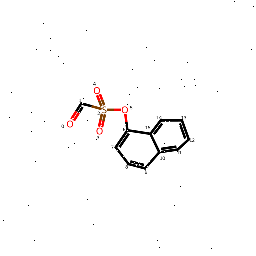 O=CS(=O)(=O)Oc1cccc2ccccc12